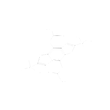 CCCCCCCCC(CCCCCCCC)Oc1c2c[c]([Sn]([CH3])([CH3])[CH3])sc2c(OC(CCCCCCCC)CCCCCCCC)c2c[c]([Sn]([CH3])([CH3])[CH3])sc12